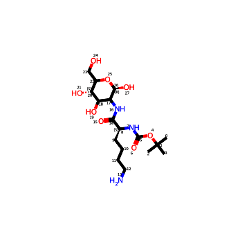 CC(C)(C)OC(=O)N[C@@H](CCCCN)C(=O)NC1C(O)[C@H](O)C(CO)O[C@H]1O